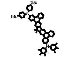 Cc1cc(N(c2cc(C)c(C)c(C)c2)c2ccc3c(c2)c2ccccc2c2cc4c(cc32)C(C)(C)c2cc3c5ccc(N(c6ccc(C(C)(C)C)cc6)c6ccc(C(C)(C)C)cc6)cc5c5ccccc5c3cc2-4)cc(C)c1C